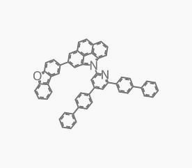 c1ccc(-c2ccc(-c3cc(-c4ccc(-c5ccccc5)cc4)nc(-n4c5cccc6ccc7cc(-c8ccc9oc%10ccccc%10c9c8)cc4c7c65)c3)cc2)cc1